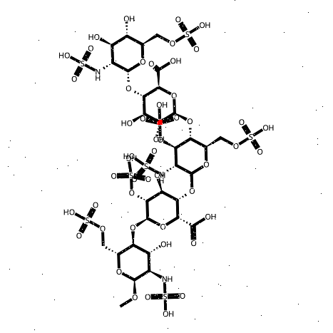 CO[C@H]1O[C@H](COS(=O)(=O)O)[C@@H](O[C@@H]2O[C@@H](C(=O)O)[C@@H](OC3O[C@H](COS(=O)(=O)O)[C@@H](O[C@@H]4O[C@H](C(=O)O)[C@@H](O[C@H]5O[C@H](COS(=O)(=O)O)[C@@H](O)[C@H](O)[C@H]5NS(=O)(=O)O)[C@H](O)[C@H]4O)[C@H](OS(=O)(=O)O)[C@H]3NS(=O)(=O)O)[C@H](O)[C@H]2OS(=O)(=O)O)[C@H](O)[C@H]1NS(=O)(=O)O